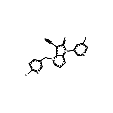 N#Cc1c2n(Cc3ccc(Cl)nc3)cccc-2n(-c2cncc(F)c2)c1=O